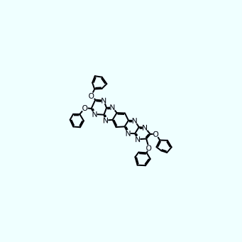 c1ccc(Oc2nc3nc4cc5nc6nc(Oc7ccccc7)c(Oc7ccccc7)nc6nc5cc4nc3nc2Oc2ccccc2)cc1